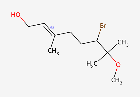 COC(C)(C)C(Br)CC/C(C)=C/CO